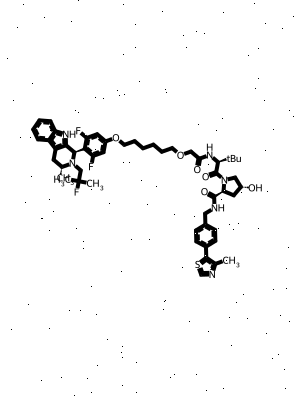 Cc1ncsc1-c1ccc(CNC(=O)[C@@H]2C[C@@H](O)CN2C(=O)[C@@H](NC(=O)COCCCCCCOc2cc(F)c([C@@H]3c4[nH]c5ccccc5c4C[C@@H](C)N3CC(C)(C)F)c(F)c2)C(C)(C)C)cc1